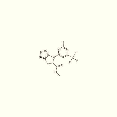 COC(=O)C1Cn2nccc2N1c1cc(C(F)(F)F)cc(C)n1